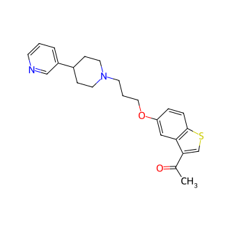 CC(=O)c1csc2ccc(OCCCN3CCC(c4cccnc4)CC3)cc12